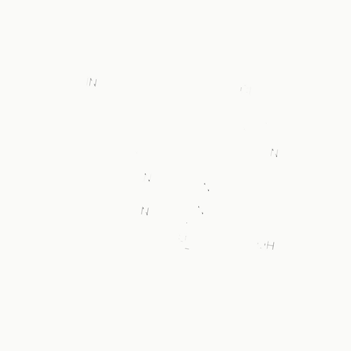 O=C(c1cn(-c2ccc3c(c2)CCNC3)cn1)N1N=C(c2cncc(CO)c2)CC1c1c(O)cccc1F